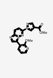 COC(=O)c1cnn(-c2ccc3ncc(-c4cccnc4OC)n3n2)c1